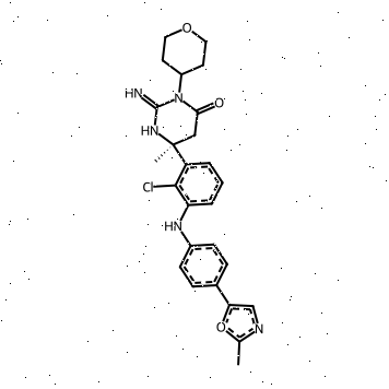 Cc1ncc(-c2ccc(Nc3cccc([C@]4(C)CC(=O)N(C5CCOCC5)C(=N)N4)c3Cl)cc2)o1